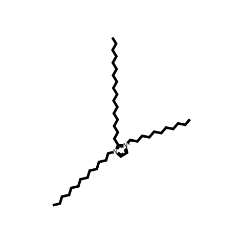 CCCCCCCCCCCCCCCCCc1n(CCCCCCCCCCCCC)cc[n+]1CCCCCCCCCCC